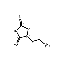 NCCN1CC(=O)NC1=O